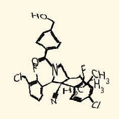 CC(C)(C)C[C@@H]1CN(C(=O)c2ccc(CO)cc2)[C@H](c2cccc(Cl)c2F)[C@@]1(C#N)c1ccc(Cl)cc1F